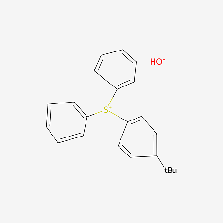 CC(C)(C)c1ccc([S+](c2ccccc2)c2ccccc2)cc1.[OH-]